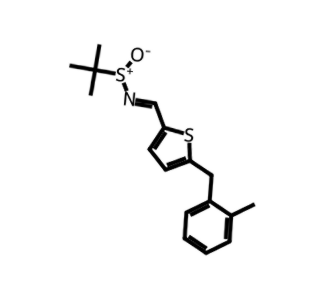 Cc1ccccc1Cc1ccc(/C=N/[S+]([O-])C(C)(C)C)s1